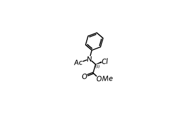 COC(=O)[C@H](Cl)N(C(C)=O)c1ccccc1